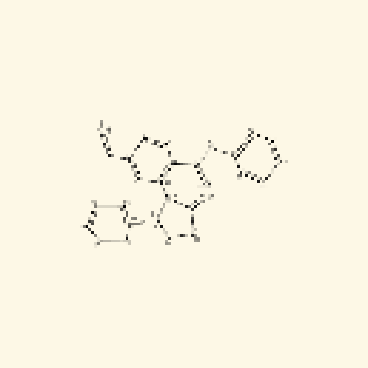 [CH]=Cc1ccc(C(=O)Oc2ccccc2)c(N2C(=O)OC[C@@H]2c2ccccc2)c1